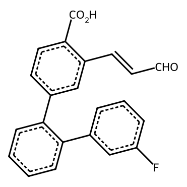 O=CC=Cc1cc(-c2ccccc2-c2cccc(F)c2)ccc1C(=O)O